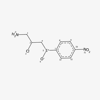 NCC(Cl)C[S+]([O-])c1ccc([N+](=O)[O-])cc1